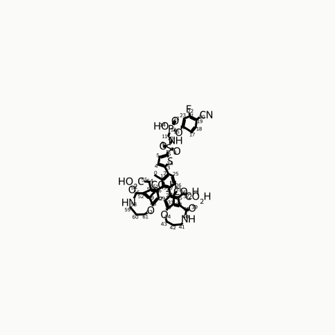 Cc1c(-c2ccc(S(=O)(=O)NCP(=O)(O)Oc3ccc(C#N)c(F)c3)s2)ccc(-c2cc3c(CC(=O)O)c(c2CC(=O)O)C(=O)NCCCO3)c1-c1cc2c(CC(=O)O)c(c1CC(=O)O)C(=O)NCCCO2